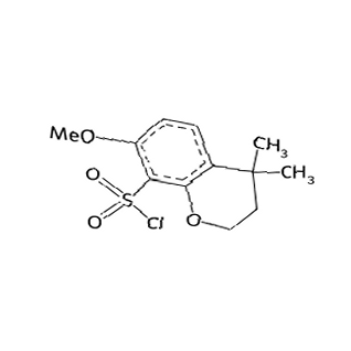 COc1ccc2c(c1S(=O)(=O)Cl)OCCC2(C)C